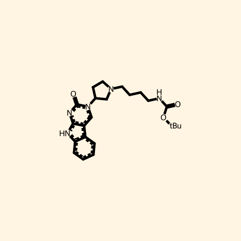 CC(C)(C)OC(=O)NCCCCN1CCC(n2cc3c(nc2=O)[nH]c2ccccc23)C1